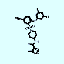 Cc1cc(Cl)cc(Oc2ccc(C#N)cc2S(=O)(=O)N2CCC(NC(=O)c3snnc3C)CC2)c1